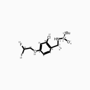 C[C@@H](N[S@+]([O-])C(C)(C)C)c1ccc(OCC(F)F)cc1Cl